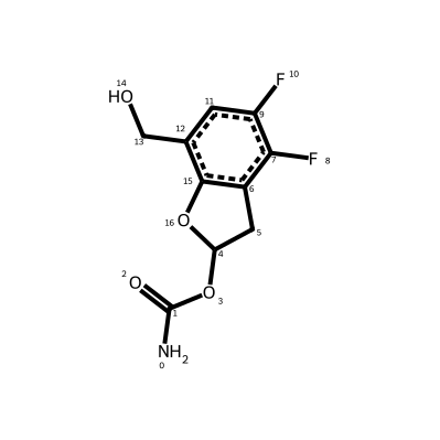 NC(=O)OC1Cc2c(F)c(F)cc(CO)c2O1